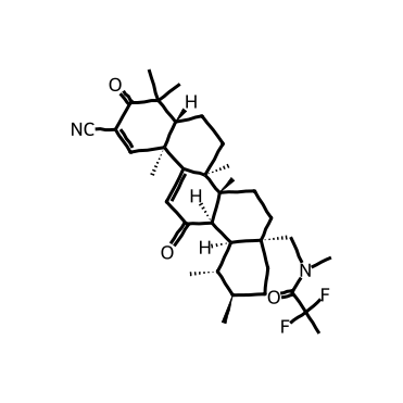 C[C@@H]1[C@H]2[C@H]3C(=O)C=C4[C@@]5(C)C=C(C#N)C(=O)C(C)(C)[C@@H]5CC[C@@]4(C)[C@]3(C)CC[C@@]2(CN(C)C(=O)C(C)(F)F)CC[C@H]1C